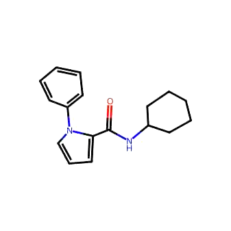 O=C(NC1CCCCC1)c1cccn1-c1ccccc1